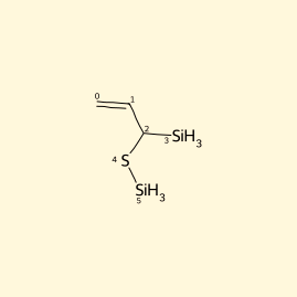 C=CC([SiH3])S[SiH3]